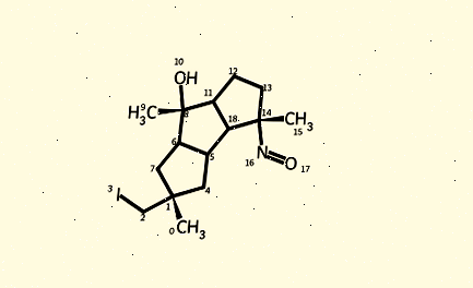 C[C@]1(CI)CC2C(C1)[C@](C)(O)C1CC[C@](C)(N=O)C21